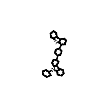 c1ccc(-n2c3ccccc3c3cc(-c4ccc(-c5cccc6c5sc5ccccc56)cc4)ccc32)cc1